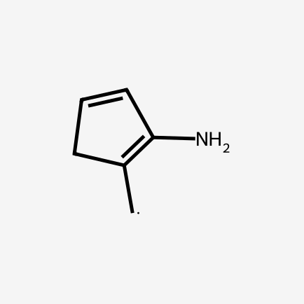 [CH2]C1=C(N)C=CC1